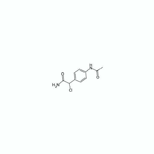 CC(=O)Nc1ccc(C(Cl)C(N)=O)cc1